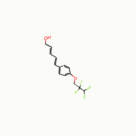 OCC=CC=Cc1ccc(OCC(F)(F)C(F)F)cc1